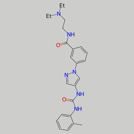 CCN(CC)CCNC(=O)c1cccc(-n2cc(NC(=O)Nc3ccccc3C)cn2)c1